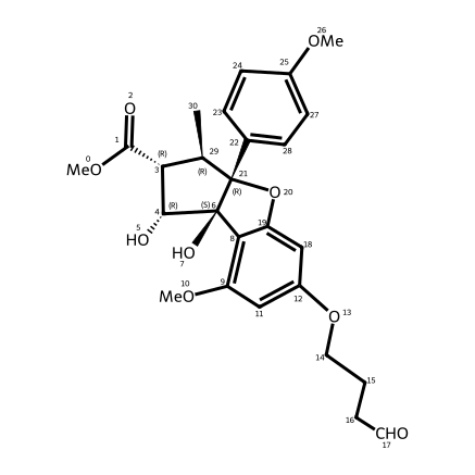 COC(=O)[C@H]1[C@@H](O)[C@@]2(O)c3c(OC)cc(OCCCC=O)cc3O[C@@]2(c2ccc(OC)cc2)[C@@H]1C